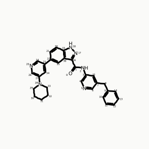 O=C(Nc1cncc(Cc2ccccc2)c1)c1n[nH]c2ccc(-c3cncc(N4CCCCC4)c3)cc12